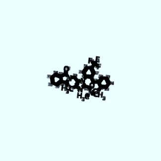 Cc1nc(CN(C)C)n(-c2ccc(C(F)(F)F)cc2C(=O)c2ccccc2Cl)c1CN1C(=O)c2ccccc2C1=O